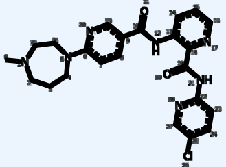 CN1CCCN(c2ccc(C(=O)Nc3cccnc3C(=O)Nc3ccc(Cl)cn3)cn2)CC1